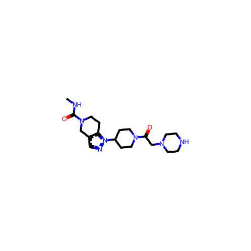 CNC(=O)N1CCc2c(cnn2C2CCN(C(=O)CN3CCNCC3)CC2)C1